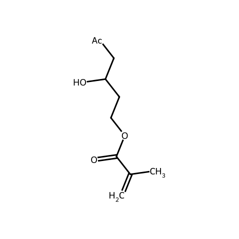 C=C(C)C(=O)OCCC(O)CC(C)=O